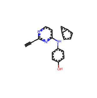 C#Cc1nccc(Nc2ccc(O)cc2)n1.c1cc2cc-2c1